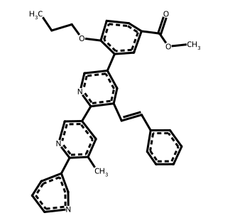 CCCOc1ccc(C(=O)OC)cc1-c1cnc(-c2cnc(-c3cccnc3)c(C)c2)c(/C=C/c2ccccc2)c1